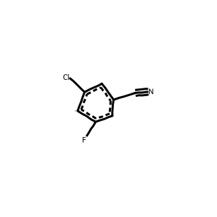 N#Cc1cc(F)[c]c(Cl)c1